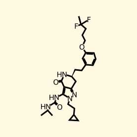 CC(C)NC(=O)Nc1c2c(nn1CCC1CC1)C[C@H](CCc1cccc(OCCCC(C)(F)F)c1)NC2=O